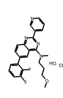 COCCCN(C)c1nc(-c2cccnc2)nc2ccc(-c3cccc(F)c3F)cc12.Cl.Cl